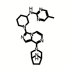 Cc1cnc(N[C@@H]2CCCN(c3ncc4c(N5CC6CCC(C5)N6)nccn34)C2)nc1